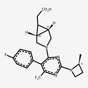 C[C@H]1CCN1c1nc(N2C[C@@H]3C(CC(=O)O)[C@@H]3C2)c(-c2ccc(F)cc2)c(C(F)(F)F)n1